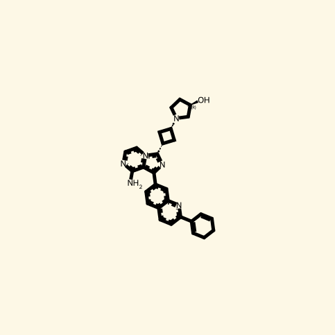 Nc1nccn2c1c(-c1ccc3ccc(C4=CCCC=C4)nc3c1)nc2[C@H]1C[C@@H](N2CC[C@@H](O)C2)C1